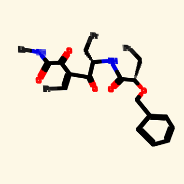 CCNC(=O)C(=O)C(=CC(C)C)C(=O)[C@H](CC(C)C)NC(=O)[C@H](CC(C)C)OCc1ccccc1